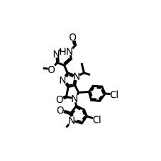 C/N=C(OC)\C(=C/NC=O)c1nc2c(n1C(C)C)C(c1ccc(Cl)cc1)N(c1cc(Cl)cn(C)c1=O)C2=O